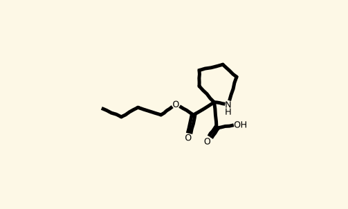 CCCCOC(=O)C1(C(=O)O)CCCCN1